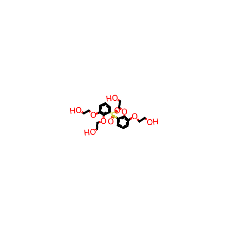 O=S(=O)(c1cccc(OCCO)c1OCCO)c1cccc(OCCO)c1OCCO